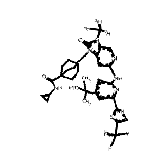 [2H]C([2H])([2H])n1c(=O)n(C23CCC(C(=O)NC4CC4)(CC2)CC3)c2cc(Nc3cc(C(C)(C)O)cc(-c4ncc(C(F)(F)F)s4)n3)ncc21